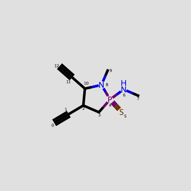 C#CC1CP(=S)(NC)N(C)C1C#C